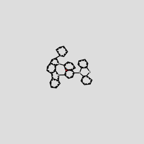 c1ccc(-c2cc3ccc4c5ccccc5n(-c5ccc(N6c7ccccc7Sc7ccccc76)cc5)c4c3n2-c2ccccc2)cc1